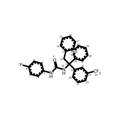 O=C(Nc1ccc(F)cc1)NC(Cc1ccccc1)(c1cccc(C(F)(F)F)c1)c1ccccn1